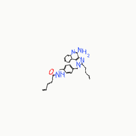 C=CCCC(=O)NCc1ccc(Cn2c(CCCC)nc3c(N)nc4ccccc4c32)cc1